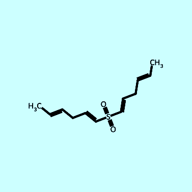 CC=CCC=CS(=O)(=O)C=CCC=CC